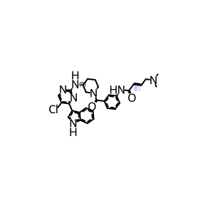 CN(C)C/C=C/C(=O)Nc1cccc(C(=O)N2CCC[C@@H](Nc3ncc(Cl)c(-c4c[nH]c5ccccc45)n3)C2)c1